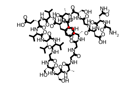 CC(C)C[C@H](NC(=O)[C@@H](NC(=O)[C@H](CCC(=O)O)NC(=O)[C@@H](NC(=O)[C@H](Cc1ccccc1)NC(=O)[C@H](C)NC(=O)[C@H](CO)NC(=O)CNC(=O)[C@H](CC(=O)O)NC(=O)[C@H](CC(N)=O)NC(=O)CN)C(C)C)C(C)C)C(=O)N[C@H](C(=O)NCC(=O)N[C@@H](CO)C(=O)N[C@@H](CO)C(=O)N[C@@H](C)C(=O)NCC(=O)NCC(=O)N[C@@H](C)C(=O)NCC(=O)O)C(C)C